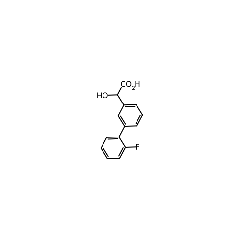 O=C(O)C(O)c1cccc(-c2ccccc2F)c1